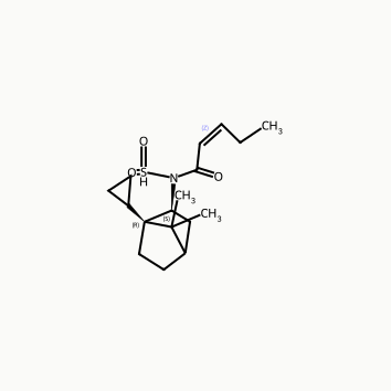 CC/C=C\C(=O)N([C@H]1CC2CC[C@@]1(C1CC1)C2(C)C)[SH](=O)=O